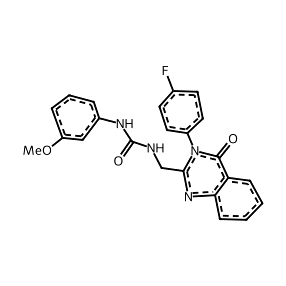 COc1cccc(NC(=O)NCc2nc3ccccc3c(=O)n2-c2ccc(F)cc2)c1